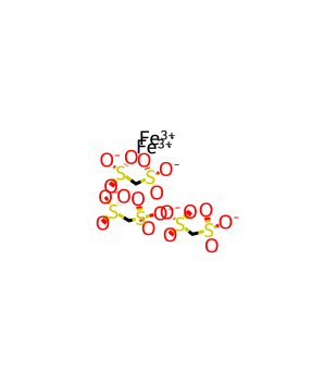 O=S(=O)([O-])CS(=O)(=O)[O-].O=S(=O)([O-])CS(=O)(=O)[O-].O=S(=O)([O-])CS(=O)(=O)[O-].[Fe+3].[Fe+3]